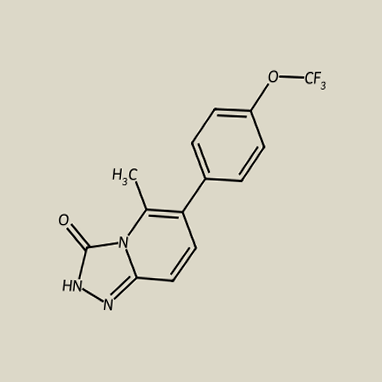 Cc1c(-c2ccc(OC(F)(F)F)cc2)ccc2n[nH]c(=O)n12